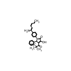 C=C/C=C\C=C(/N)c1ccc(N2C(=O)C(O)=C(C(=O)C(C)(C)C)C2c2ccccc2)cc1